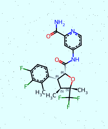 Cc1c([C@@H]2[C@H](C(=O)Nc3ccnc(C(N)=O)c3)O[C@](C)(C(F)(F)F)[C@H]2C)ccc(F)c1F